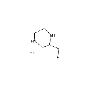 Cl.FCC1CNCCN1